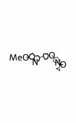 COc1ccc2cc(-c3ccc(OC4CCN(C(=O)C5CC5)CC4)cc3)cnc2c1